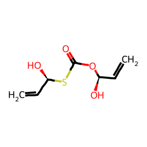 C=C[C@@H](O)OC(=O)S[C@H](O)C=C